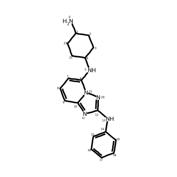 NC1CCC(Nc2cccc3nc(Nc4ccccc4)nn23)CC1